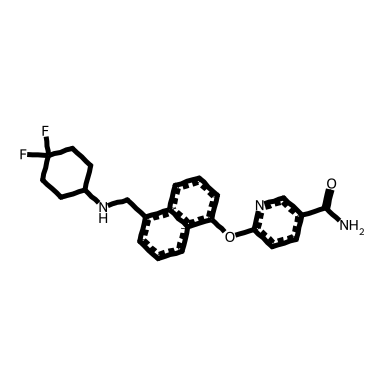 NC(=O)c1ccc(Oc2cccc3c(CNC4CCC(F)(F)CC4)cccc23)nc1